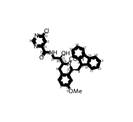 COc1ccc2c(c1)[C@H](CC1c3ccccc3-c3ccccc31)N(C(=O)O)C([C@H](O)CNC(=O)c1cc(Cl)ncn1)C2